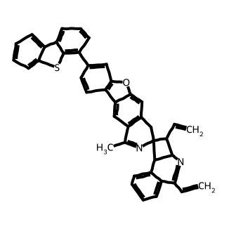 C=CC1=NC2C(C=C)C3(Cc4cc5oc6cc(-c7cccc8c7sc7ccccc78)ccc6c5cc4C(C)=N3)C2c2ccccc21